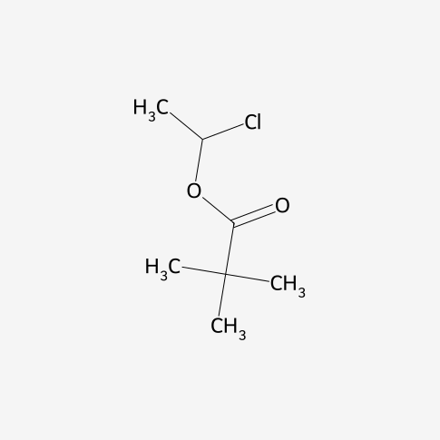 CC(Cl)OC(=O)C(C)(C)C